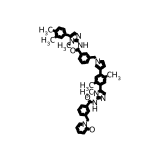 Cc1ccc(-c2cnc(NC(=O)c3cccc(Cn4ccc(-c5cc(C)c(-c6cnc(NC(=O)c7cccc(Cn8ccccc8=O)c7)n6C)cc5C)c4)c3)n2C)cc1C